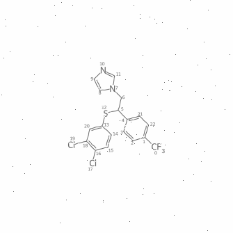 FC(F)(F)c1ccc(C(Cn2ccnc2)Sc2ccc(Cl)c(Cl)c2)cc1